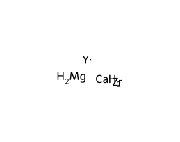 [CaH2].[MgH2].[Y].[Zr]